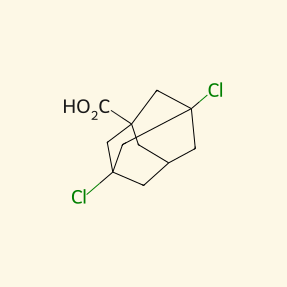 O=C(O)C12CC3CC(Cl)(CC(Cl)(C3)C1)C2